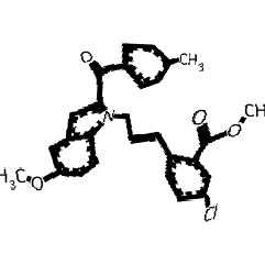 COC(=O)c1cc(Cl)ccc1C=CCn1c(C(=O)c2ccc(C)cc2)cc2cc(OC)ccc21